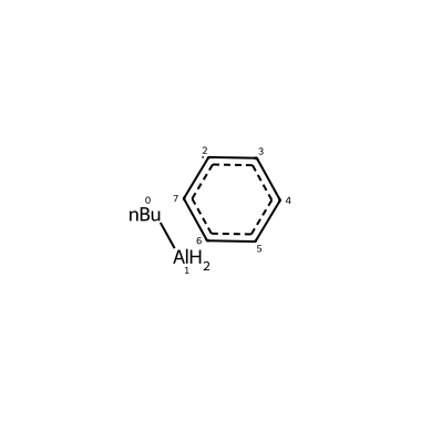 CCC[CH2][AlH2].[c]1ccccc1